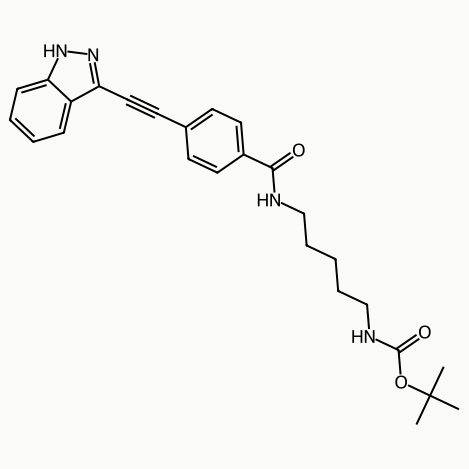 CC(C)(C)OC(=O)NCCCCCNC(=O)c1ccc(C#Cc2n[nH]c3ccccc23)cc1